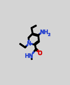 CCC1=C(N)C=C(C(=O)NC)N(CC)C1